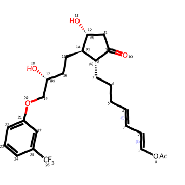 CC(=O)O/C=C/C=C/CCC[C@H]1C(=O)C[C@@H](O)[C@@H]1CC[C@@H](O)COc1cccc(C(F)(F)F)c1